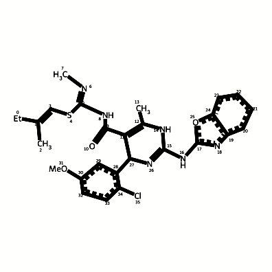 CC/C(C)=C/S/C(=N\C)NC(=O)C1=C(C)NC(Nc2nc3ccccc3o2)=NC1c1cc(OC)ccc1Cl